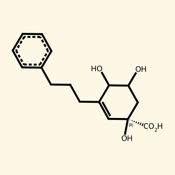 O=C(O)[C@]1(O)C=C(CCCc2ccccc2)C(O)C(O)C1